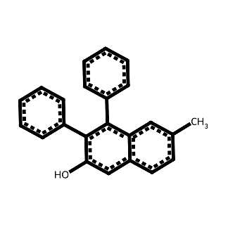 Cc1ccc2cc(O)c(-c3ccccc3)c(-c3ccccc3)c2c1